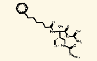 CCC[C@](NC(=O)CCCCCc1ccccc1)(C(=O)NC(=N)N)[C@@H](CO)CNC(=O)OC(C)(C)C